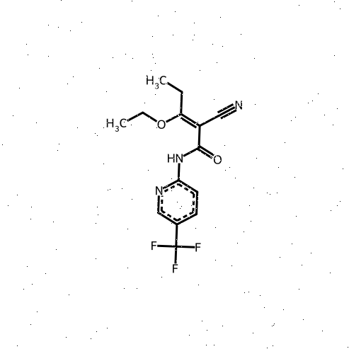 CCOC(CC)=C(C#N)C(=O)Nc1ccc(C(F)(F)F)cn1